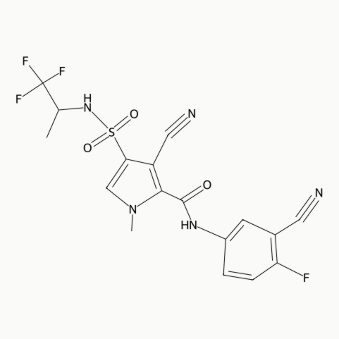 CC(NS(=O)(=O)c1cn(C)c(C(=O)Nc2ccc(F)c(C#N)c2)c1C#N)C(F)(F)F